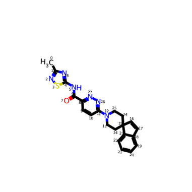 Cc1nsc(NC(=O)c2ccc(N3CCC4(C=Cc5ccccc54)CC3)nn2)n1